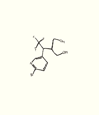 OCC(CO)C(c1ccc(Br)nc1)C(F)(F)F